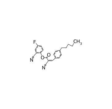 CCCCCc1ccc(C=C(C#N)C(=O)Oc2ccc(F)cc2C#N)cc1